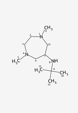 CN1CCN(C)CC(NC(C)(C)C)C1